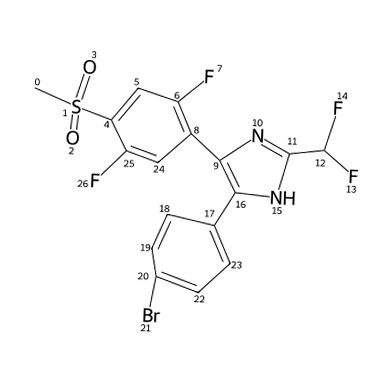 CS(=O)(=O)c1cc(F)c(-c2nc(C(F)F)[nH]c2-c2ccc(Br)cc2)cc1F